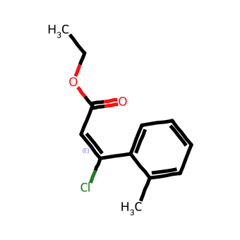 CCOC(=O)/C=C(/Cl)c1ccccc1C